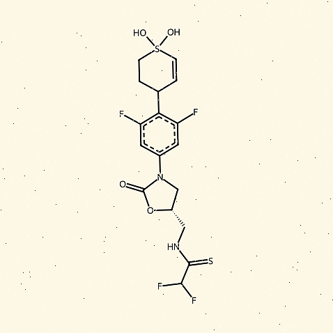 O=C1O[C@@H](CNC(=S)C(F)F)CN1c1cc(F)c(C2C=CS(O)(O)CC2)c(F)c1